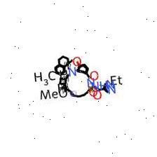 CCn1cc(C(=O)N[S@@]2(=O)=NC(=O)c3ccc4c(c3)N(C[C@@H]3CC[C@H]3[C@@H](OC)/C=C/CCC2)C[C@@]2(CCCc3cc(C)ccc32)CO4)cn1